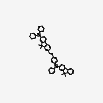 CC1(C)c2cc(/C=C/c3ccc(N(c4ccccc4)c4ccc5c(c4)C(C)(C)c4ccccc4-5)cc3)ccc2-c2ccc(N(C3=CCCC=C3)c3ccccc3)cc21